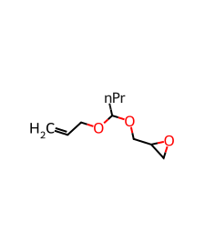 C=CCOC(CCC)OCC1CO1